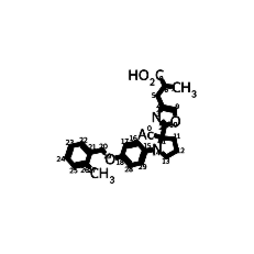 CC(=O)C1(c2nc(CC(C)C(=O)O)co2)CCCN1c1ccc(OCc2ccccc2C)cc1